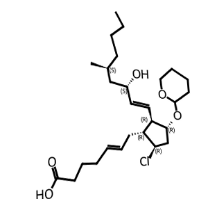 CCCC[C@H](C)C[C@H](O)C=C[C@@H]1[C@@H](CC=CCCCC(=O)O)[C@H](Cl)C[C@H]1OC1CCCCO1